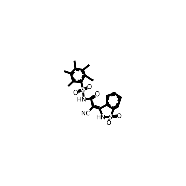 Cc1c(C)c(C)c(S(=O)(=O)NC(=O)C(C#N)=C2NS(=O)(=O)c3ccccc32)c(C)c1C